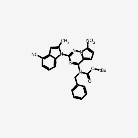 Cc1cc2c(C#N)cccc2n1-c1nc(N(Cc2ccccc2)C(=O)OC(C)(C)C)c2ccc([N+](=O)[O-])n2n1